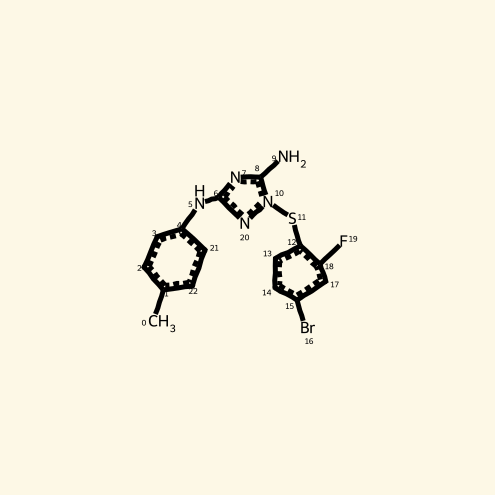 Cc1ccc(Nc2nc(N)n(Sc3ccc(Br)cc3F)n2)cc1